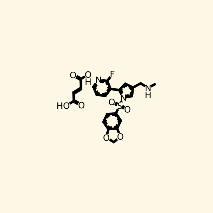 CNCc1cc(-c2cccnc2F)n(S(=O)(=O)c2ccc3c(c2)OCO3)c1.O=C(O)/C=C/C(=O)O